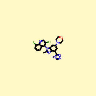 Cc1nc2c(-c3nnc[nH]3)cc(N3CCOCC3)cc2n1-c1c(Cl)cnc2c(F)cccc12